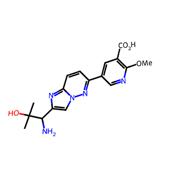 COc1ncc(-c2ccc3nc(C(N)C(C)(C)O)cn3n2)cc1C(=O)O